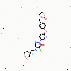 O=C1OCCN1Cc1ccc(Oc2ccc(-n3ncc(NC[C@@]4(F)CCCOC4)c(Cl)c3=O)cn2)cc1